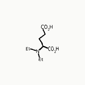 CCN(CC)C(CCC(=O)O)C(=O)O